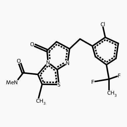 CNC(=O)c1c(C)sc2nc(Cc3cc(C(C)(F)F)ccc3Cl)cc(=O)n12